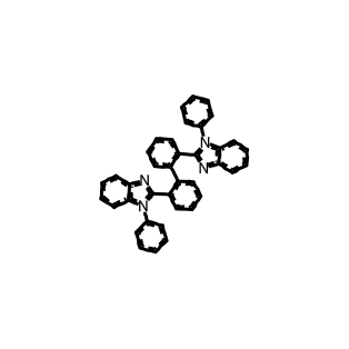 c1ccc(-n2c(-c3ccccc3-c3ccccc3-c3nc4ccccc4n3-c3ccccc3)nc3ccccc32)cc1